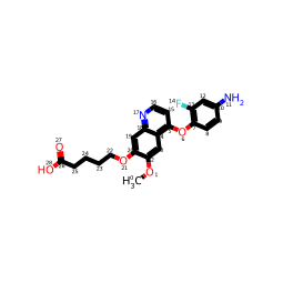 COc1cc2c(Oc3ccc(N)cc3F)ccnc2cc1OCCCCC(=O)O